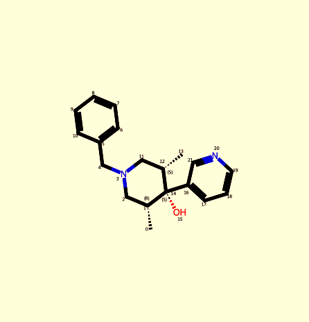 C[C@@H]1CN(Cc2ccccc2)C[C@H](C)[C@@]1(O)c1cccnc1